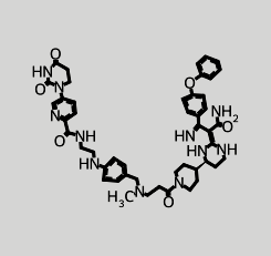 CN(CCC(=O)N1CCC([C@@H]2CCN/C(=C(/C(=N)c3ccc(Oc4ccccc4)cc3)C(N)=O)N2)CC1)Cc1ccc(NCCNC(=O)c2ccc(N3CCC(=O)NC3=O)cn2)cc1